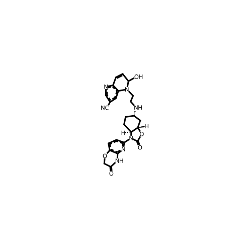 N#Cc1cnc2c(c1)N(CCN[C@H]1CC[C@H]3[C@H](C1)OC(=O)N3c1ccc3c(n1)NC(=O)CO3)C(O)C=C2